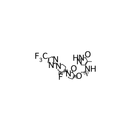 Cc1c(N[C@@H](C)CO[C@@H]2CCN([C@@H]3CCN(c4ncc(C(F)(F)F)cn4)C[C@H]3F)C2=O)cn[nH]c1=O